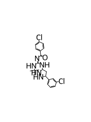 CC(C)(C)N/C(=N/C(=O)c1ccc(Cl)cc1)NC1CC(c2cccc(Cl)c2)NN1